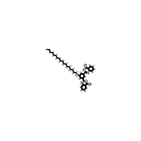 CCCCCCCCCCCCCCCCCCOc1cc(-c2nc3ccccc3c(=O)o2)cc(-c2nc3ccccc3c(=O)o2)c1